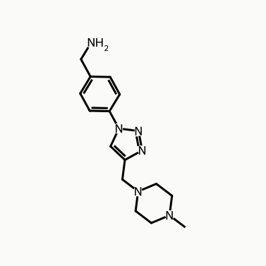 CN1CCN(Cc2cn(-c3ccc(CN)cc3)nn2)CC1